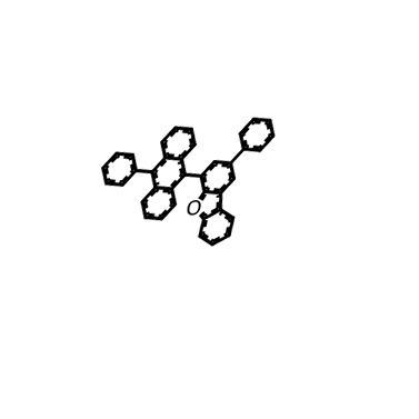 c1ccc(-c2cc(-c3c4ccccc4c(-c4ccccc4)c4ccccc34)c3oc4ccccc4c3c2)cc1